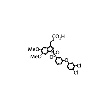 COc1cc2c(CCC(=O)O)cn(S(=O)(=O)c3cccc(Oc4ccc(Cl)c(Cl)c4)c3)c2cc1OC